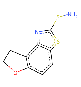 NSc1nc2c3c(ccc2s1)OCC3